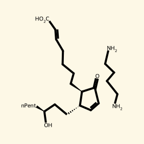 CCCCC[C@H](O)CC[C@H]1C=CC(=O)[C@@H]1CCCCC=CC(=O)O.NCCCCN